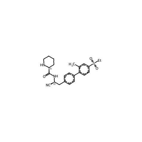 CCS(=O)(=O)c1ccc(-c2ccc(C[C@@H](C#N)NC(=O)[C@@H]3CCCCN3)cc2)c(C)c1